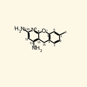 Cc1ccc2c(c1)Oc1nc(N)cc(N)c1C2